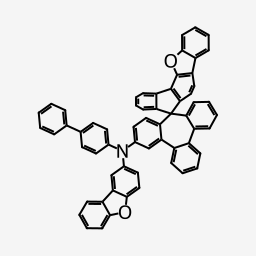 c1ccc(-c2ccc(N(c3ccc4c(c3)-c3ccccc3-c3ccccc3C43c4ccccc4-c4c3ccc3c4oc4ccccc43)c3ccc4oc5ccccc5c4c3)cc2)cc1